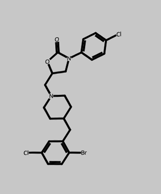 O=C1OC(CN2CCC(Cc3cc(Cl)ccc3Br)CC2)CN1c1ccc(Cl)cc1